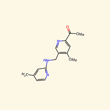 COC(=O)c1cc(OC)c(CNc2cc(C)ccn2)cn1